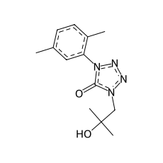 Cc1ccc(C)c(-n2nnn(CC(C)(C)O)c2=O)c1